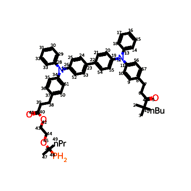 CCCCC(C)(C)C(=O)CCc1ccc(N(c2ccccc2)c2ccc(-c3ccc(N(c4ccccc4)c4ccc(CCC(=O)OCCOC(C)(P)CCC)cc4)cc3)cc2)cc1